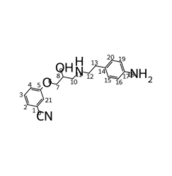 N#Cc1cccc(OCC(O)CNCCc2ccc(N)cc2)c1